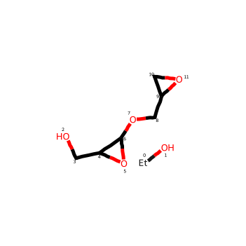 CCO.OCC1OC1OCC1CO1